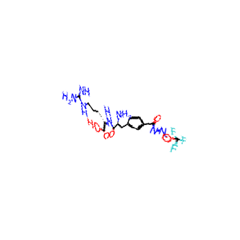 N=C(N)NCCC[C@H](NC(=O)[C@@H](N)Cc1ccc(C(=O)N=NOC(F)(F)F)cc1)C(=O)O